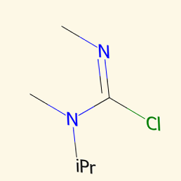 C/N=C(/Cl)N(C)C(C)C